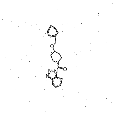 O=C(N1CCC(OCc2ccccc2)CC1)n1nnc2ccccc21